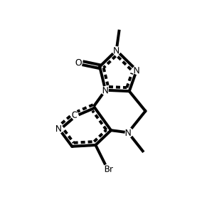 CN1Cc2nn(C)c(=O)n2-c2cncc(Br)c21